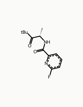 C[C@H](NC(=O)c1cccc(F)n1)C(=O)C(C)(C)C